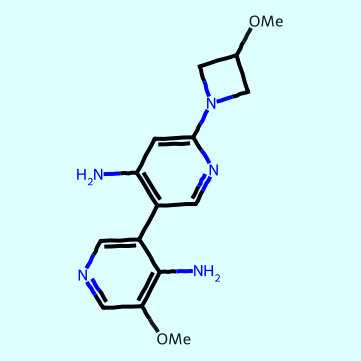 COc1cncc(-c2cnc(N3CC(OC)C3)cc2N)c1N